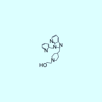 OCCN1CCC(Cc2nc3cccnc3n2Cc2ccccn2)CC1